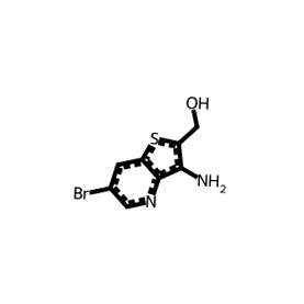 Nc1c(CO)sc2cc(Br)cnc12